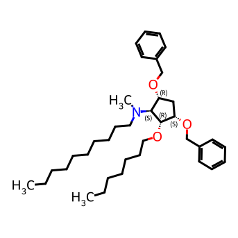 CCCCCCCCCCN(C)[C@@H]1[C@@H](OCCCCCCC)[C@@H](OCc2ccccc2)C[C@H]1OCc1ccccc1